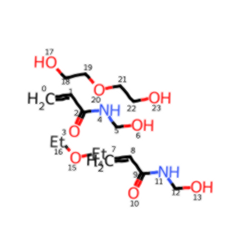 C=CC(=O)NCO.C=CC(=O)NCO.CCOCC.OCCOCCO